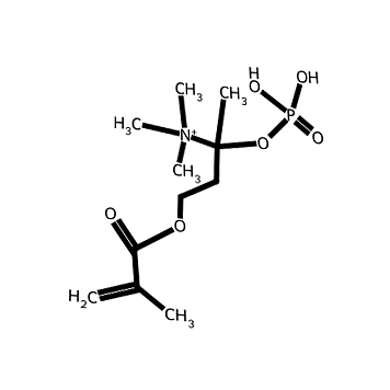 C=C(C)C(=O)OCCC(C)(OP(=O)(O)O)[N+](C)(C)C